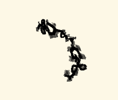 CCS(=O)(=O)N1CCC(COCC[C@@H]2C[C@@H]2C2CCN(C(=O)OCC(C)C)CC2)CC1